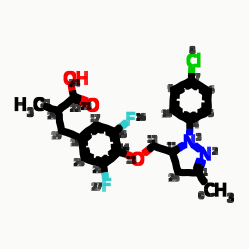 CC1=NN(c2ccc(Cl)cc2)C(COc2c(F)cc(CC(C)C(=O)O)cc2F)C1